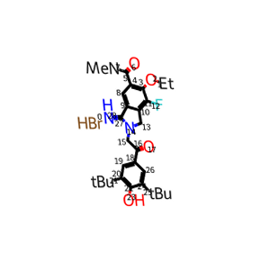 Br.CCOc1c(C(=O)NC)cc2c(c1F)CN(CC(=O)c1cc(C(C)(C)C)c(O)c(C(C)(C)C)c1)C2=N